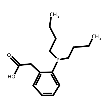 CCCCP(CCCC)c1ccccc1CC(=O)O